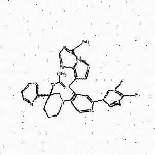 NC(=O)OC1(c2ccccn2)CCCN(c2cnc(-c3ccc(F)c(F)c3)cc2Cc2cnn3c(N)ncnc23)C1